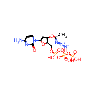 C[C@H](N=[N+]=[N-])OC1C[C@H](n2ccc(N)nc2=O)O[C@@H]1COP(=O)(O)OP(=O)(O)OP(=O)(O)O